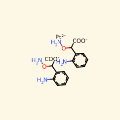 NOC(C(=O)[O-])c1ccccc1N.NOC(C(=O)[O-])c1ccccc1N.[Pt+2]